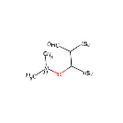 CCCCC(O[SiH](C)C)C(C=O)C(C)(C)C